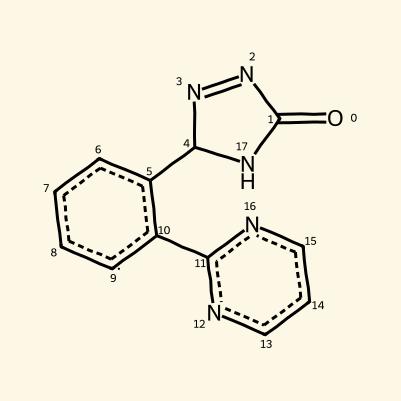 O=C1N=NC(c2ccc[c]c2-c2ncccn2)N1